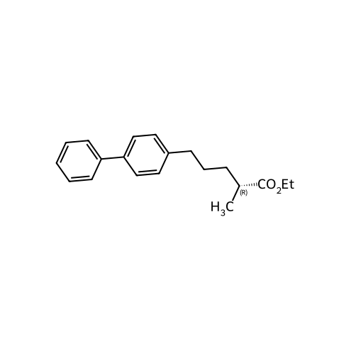 CCOC(=O)[C@H](C)CCCc1ccc(-c2ccccc2)cc1